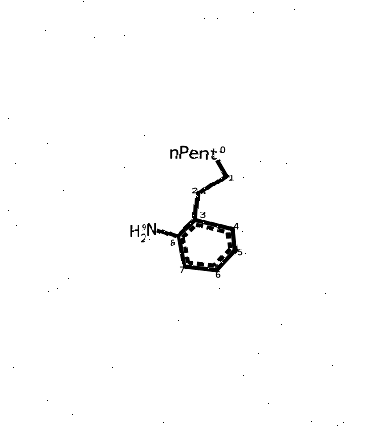 CCCCCC[CH]c1ccccc1N